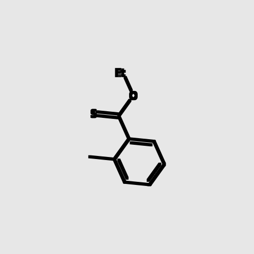 CCOC(=S)c1ccccc1C